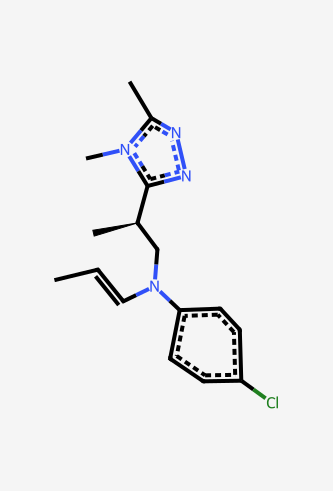 C/C=C/N(C[C@@H](C)c1nnc(C)n1C)c1ccc(Cl)cc1